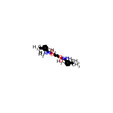 C=C(C)c1cccc(C(C)(C)NC(=O)OCCCCOC(=O)NC(C)(C)c2cccc(C(=C)C)c2)c1